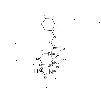 O=C(CCC1CCCCC1)N1CCc2[nH]cnc2C12CCC2